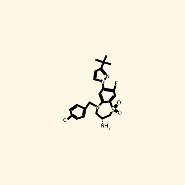 CC(C)(C)c1ccn(-c2cc3c(cc2F)S(=O)(=O)C[C@H](N)CN3Cc2ccc(Cl)cc2)n1